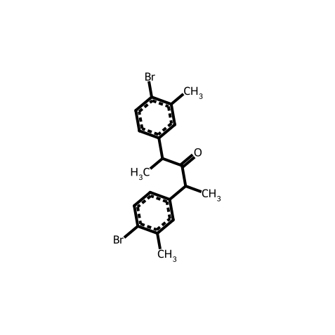 Cc1cc(C(C)C(=O)C(C)c2ccc(Br)c(C)c2)ccc1Br